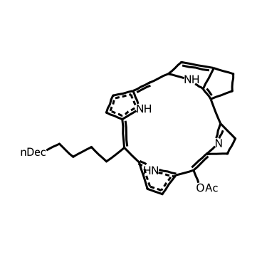 CCCCCCCCCCCCCCC1=c2ccc([nH]2)=CC2C=C3CCC(=C3N2)C2=NC(=C(OC(C)=O)c3ccc1[nH]3)CC2